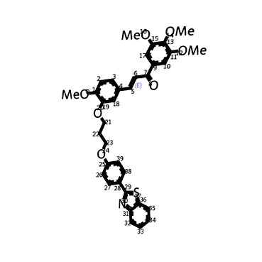 COc1ccc(/C=C/C(=O)c2cc(OC)c(OC)c(OC)c2)cc1OCCCOc1ccc(-c2nc3ccccc3s2)cc1